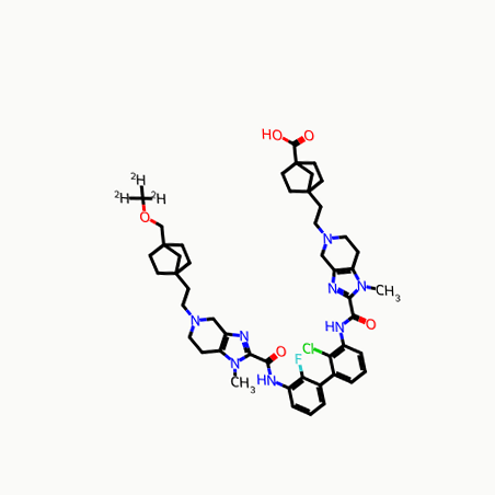 [2H]C([2H])([2H])OCC12CCC(CCN3CCc4c(nc(C(=O)Nc5cccc(-c6cccc(NC(=O)c7nc8c(n7C)CCN(CCC79CCC(C(=O)O)(CC7)C9)C8)c6Cl)c5F)n4C)C3)(CC1)C2